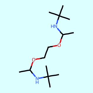 CC(NC(C)(C)C)OCCOC(C)NC(C)(C)C